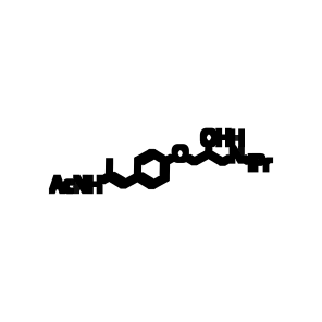 CC(=O)NC(C)=Cc1ccc(OCC(O)CNC(C)C)cc1